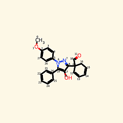 COc1ccc(-n2nc(C3(C=O)C=CC=CC3)c(O)c2-c2ccccc2)cc1